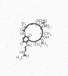 CO[C@H]1C=CC=C(C)C(=O)NC2=CC(=O)C(NCCNC(C)=O)=C(C[C@@H](C)C[C@H](OC)[C@H](O)[C@@H](C)C=C(C)[C@@H]1OC(N)=O)C2=O